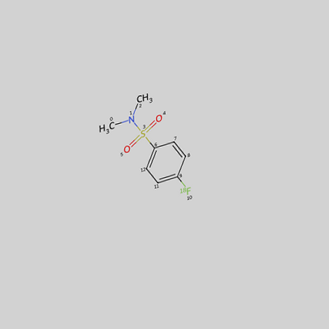 CN(C)S(=O)(=O)c1ccc([18F])cc1